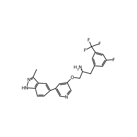 Cc1n[nH]c2ccc(-c3cncc(OC[C@@H](N)Cc4cc(F)cc(C(F)(F)F)c4)c3)cc12